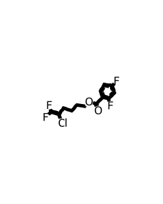 O=C(OCCCCC(Cl)=C(F)F)c1ccc(F)cc1F